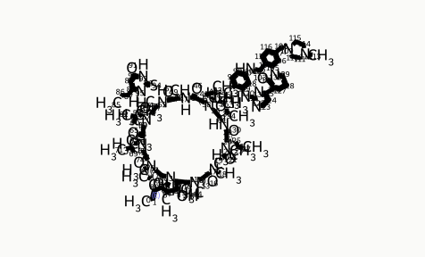 C/C=C/C[C@@H](C)[C@@H](O)[C@H]1C(=O)N[C@@H](CC)C(=O)N(C)CC(=O)N(C)[C@@H](CC(C)C)C(=O)N[C@@H](C(C)C)C(=O)N(C)[C@@H](CC(C)C)C(=O)N[C@@H](C)C(=O)N[C@H](C)C(=O)N(C)[C@@H](CC(C)C)C(=O)N(C)[C@@H](CC(C)C)C(=O)N(C)[C@@H](C(C)C)C(=O)N1C.CCCc1cc(=O)[nH]c(=S)[nH]1.Cc1ccc(NC(=O)c2ccc(CN3CCN(C)CC3)cc2)cc1Nc1nccc(-c2cccnc2)n1